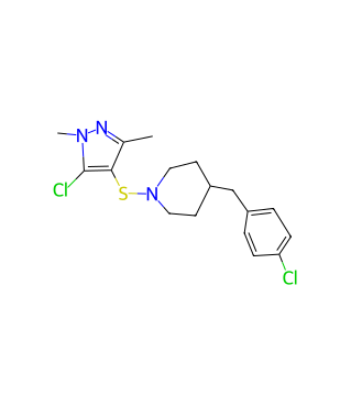 Cc1nn(C)c(Cl)c1SN1CCC(Cc2ccc(Cl)cc2)CC1